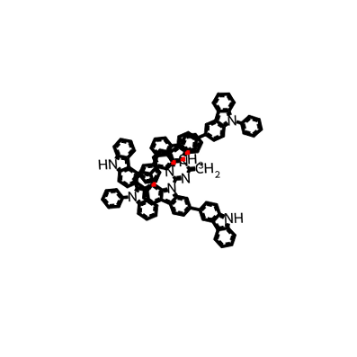 C=C(/N=C(\N=C(/C)c1c(-c2ccccc2)cccc1-c1ccccc1)n1c2cc(-c3ccc4[nH]c5ccccc5c4c3)ccc2c2ccc(-c3ccc4[nH]c5ccccc5c4c3)cc21)n1c2cc(-c3ccc4c(c3)c3ccccc3n4-c3ccccc3)ccc2c2ccc(-c3ccc4c(c3)c3ccccc3n4-c3ccccc3)cc21